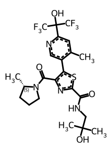 Cc1cc(C(O)(C(F)(F)F)C(F)(F)F)ncc1-c1sc(C(=O)NCC(C)(C)O)nc1C(=O)N1CCC[C@@H]1C